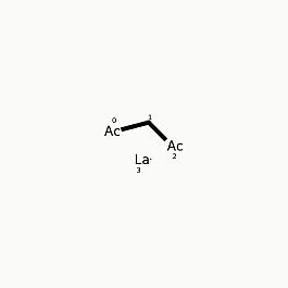 CC(=O)CC(C)=O.[La]